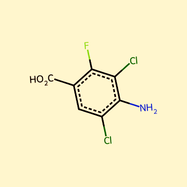 Nc1c(Cl)cc(C(=O)O)c(F)c1Cl